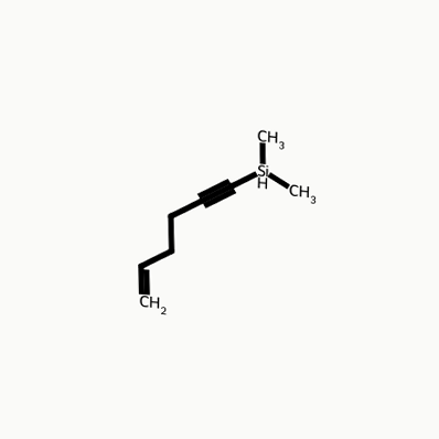 C=CCCC#C[SiH](C)C